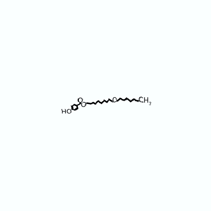 CCCCCCCCOCCCCCCCCCCOC(=O)c1ccc(O)cc1